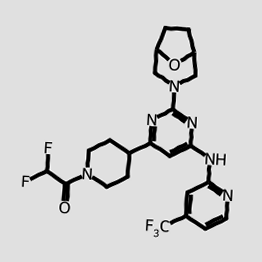 O=C(C(F)F)N1CCC(c2cc(Nc3cc(C(F)(F)F)ccn3)nc(N3CC4CCC(C3)O4)n2)CC1